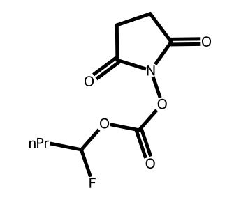 CCCC(F)OC(=O)ON1C(=O)CCC1=O